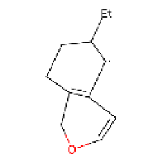 CCC1[CH]C2=C(CC1)COC=C2